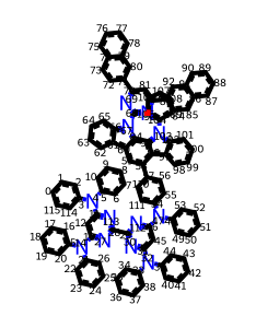 c1ccc(N(c2ccccc2)c2cc(N(c3ccccc3)c3ccccc3)nc(-c3nc(N(c4ccccc4)c4ccccc4)cc(N(c4ccccc4)c4ccc(-c5cc6c7ccccc7n(-c7nc(-c8ccc9ccccc9c8)cc(-c8ccc9ccccc9c8)n7)c6c6c5c5ccccc5n6-c5ccccc5)cc4)n3)n2)cc1